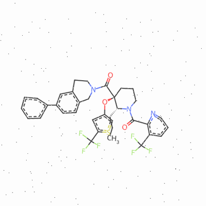 CCC[C@H]1N(C(=O)c2ncccc2C(F)(F)F)CCC[C@@]1(Oc1csc(C(F)(F)F)c1)C(=O)N1CCc2cc(-c3ccccc3)ccc2C1